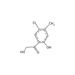 Cc1cc(O)c(C(=O)CO)cc1Cl